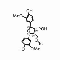 CCOC[C@@H]1[C@@H](CO)[C@H](c2ccc(O)c(OC)c2)O[C@H]1c1ccc(O)c(OC)c1